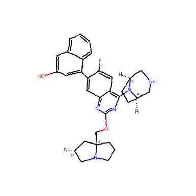 Oc1cc(-c2cc3nc(OC[C@@]45CCCN4C[C@H](F)C5)nc(N4[C@@H]5CC[C@H]4CNC5)c3cc2F)c2ccccc2c1